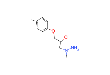 Cc1ccc(OCC(O)CN(C)N)cc1